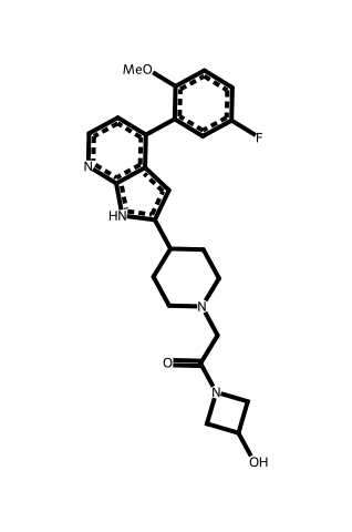 COc1ccc(F)cc1-c1ccnc2[nH]c(C3CCN(CC(=O)N4CC(O)C4)CC3)cc12